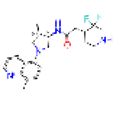 Cc1ccc(N2C[C@@H](C)[C@@H](NC(=O)CC3CCNCC3(F)F)C2)c2cccnc12